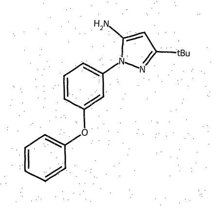 CC(C)(C)c1cc(N)n(-c2cccc(Oc3ccccc3)c2)n1